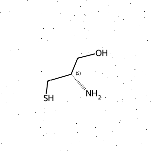 N[C@@H](CO)CS